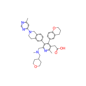 Cc1cc(N2CCc3cc(-c4c(CN(C)CC5CCOCC5)nc(C)c(CC(=O)O)c4-c4ccc5c(c4)CCCO5)ccc3C2)ncn1